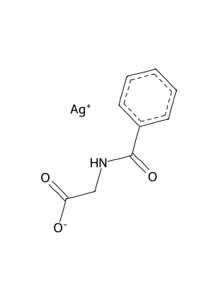 O=C([O-])CNC(=O)c1ccccc1.[Ag+]